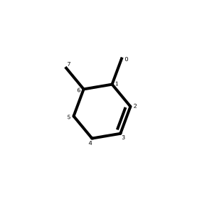 CC1C=CCCC1C